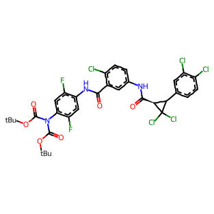 CC(C)(C)OC(=O)N(C(=O)OC(C)(C)C)c1cc(F)c(NC(=O)c2cc(NC(=O)[C@H]3C(c4ccc(Cl)c(Cl)c4)C3(Cl)Cl)ccc2Cl)cc1F